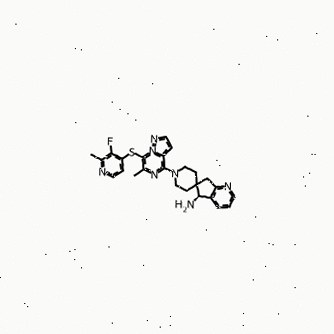 Cc1nccc(Sc2c(C)nc(N3CCC4(CC3)Cc3ncccc3[C@H]4N)c3ccnn23)c1F